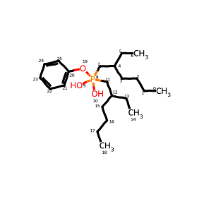 CCCCC(CC)CP(O)(O)(CC(CC)CCCC)Oc1ccccc1